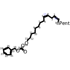 CCCCC/C=C\C/C=C\CCCCCCCCOOC(=O)OCc1ccccc1